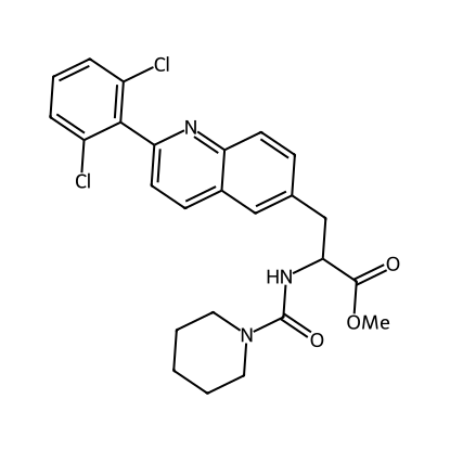 COC(=O)C(Cc1ccc2nc(-c3c(Cl)cccc3Cl)ccc2c1)NC(=O)N1CCCCC1